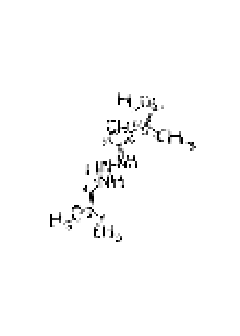 C=C/C(C)=C\NNN/C(=C/C/C(C)=C\C)CC